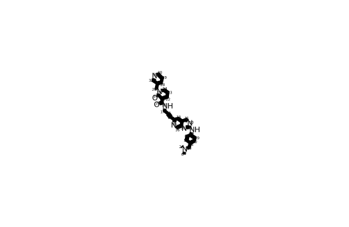 CN(C)Cc1ccc(Nc2ncc3cc(C#CCNC(=O)c4cccn(Cc5cccnc5)c4=O)ncc3n2)cc1